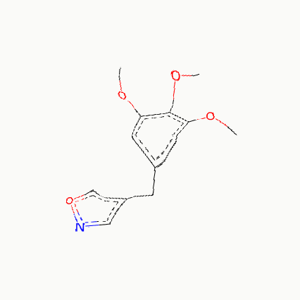 COc1cc(Cc2cnoc2)cc(OC)c1OC